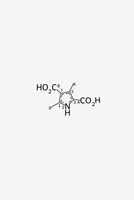 Cc1[nH]c(C(=O)O)c(C)c1C(=O)O